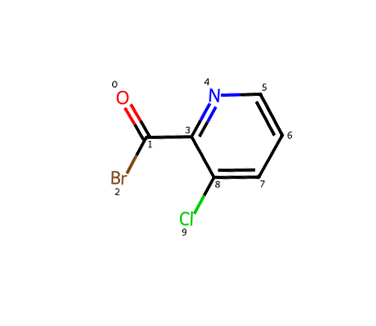 O=C(Br)c1ncccc1Cl